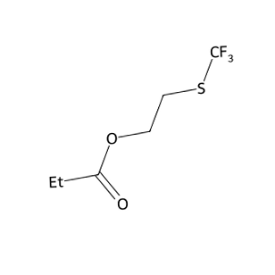 CCC(=O)OCCSC(F)(F)F